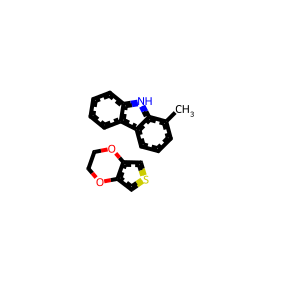 Cc1cccc2c1[nH]c1ccccc12.c1scc2c1OCCO2